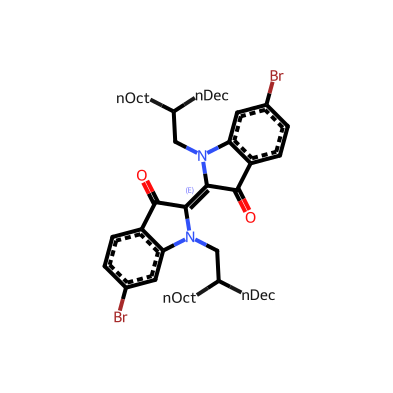 CCCCCCCCCCC(CCCCCCCC)CN1/C(=C2\C(=O)c3ccc(Br)cc3N2CC(CCCCCCCC)CCCCCCCCCC)C(=O)c2ccc(Br)cc21